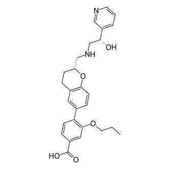 CCCOc1cc(C(=O)O)ccc1-c1ccc2c(c1)CC[C@H](CNC[C@@H](O)c1cccnc1)O2